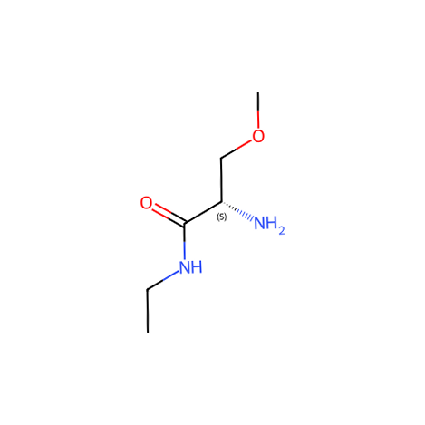 CCNC(=O)[C@@H](N)COC